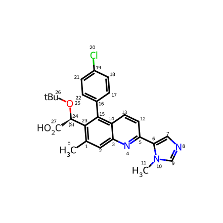 Cc1cc2nc(-c3cncn3C)ccc2c(-c2ccc(Cl)cc2)c1[C@H](OC(C)(C)C)C(=O)O